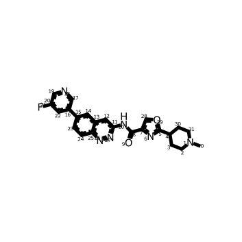 CN1CCC(c2nc(C(=O)Nc3cc4cc(-c5cncc(F)c5)ccc4nn3)co2)CC1